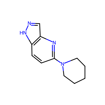 c1cc2[nH]ncc2nc1N1CCCCC1